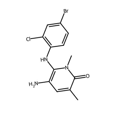 Cc1cc(N)c(Nc2ccc(Br)cc2Cl)n(C)c1=O